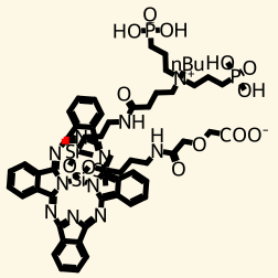 CCCC[N+](CCCC(=O)NCCC[Si](C)(C)O[Si]1(O[Si](C)(C)CCCNC(=O)COCC(=O)[O-])n2c3c4ccccc4c2/N=C2N=C(/N=c4/c5ccccc5/c(n41)=N/C1=NC(=N\3)/c3ccccc31)c1ccccc1\2)(CCCP(=O)(O)O)CCCP(=O)(O)O